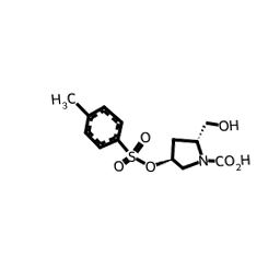 Cc1ccc(S(=O)(=O)O[C@H]2C[C@H](CO)N(C(=O)O)C2)cc1